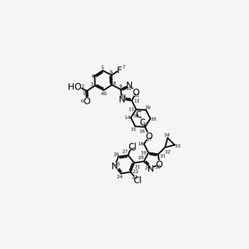 O=C(O)c1ccc(F)c(-c2noc(C34CCC(OCc5c(-c6c(Cl)cncc6Cl)noc5C5CC5)(CC3)CC4)n2)c1